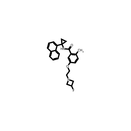 Cc1ccc(OCCN2CC(F)C2)cc1C(=O)NC1(c2cccc3ccccc23)CC1